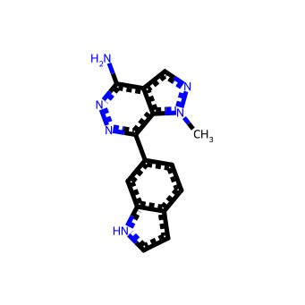 Cn1ncc2c(N)nnc(-c3ccc4cc[nH]c4c3)c21